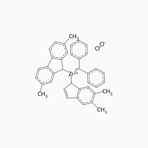 Cc1ccc2c(c1)[CH]([Zr+2](=[C](c1ccccc1)c1ccccc1)[CH]1C=Cc3cc(C)c(C)cc31)c1cc(C)ccc1-2.[Cl-].[Cl-]